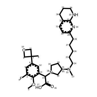 COc1c(F)cc(C2(C)COC2)cc1C(C(=O)O)N1CC[C@@H](N(C)CCCCCc2ccc3c(n2)NCCC3)C1